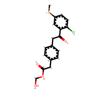 CSc1ccc(Cl)c(C(=O)Cc2ccc(CC(=O)OCO)cc2)c1